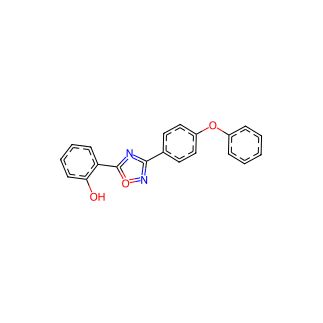 Oc1ccccc1-c1nc(-c2ccc(Oc3ccccc3)cc2)no1